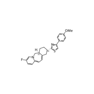 COc1ccc(-c2csc([C@H]3CC[C@@H]4CN5C=C(F)C=CC5=CC=C4C3)n2)cc1